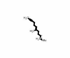 CC#CCC/C=C(\C)CCC[SiH2]CCCC